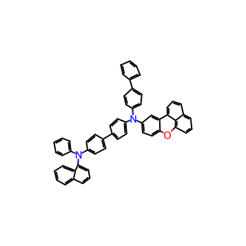 c1ccc(-c2ccc(N(c3ccc(-c4ccc(N(c5ccccc5)c5cccc6ccccc56)cc4)cc3)c3ccc4c(c3)-c3cccc5cccc(c35)O4)cc2)cc1